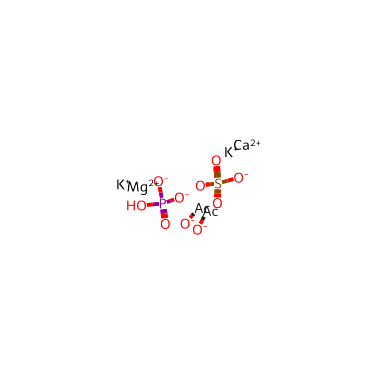 CC(=O)[O-].CC(=O)[O-].O=P([O-])([O-])O.O=S(=O)([O-])[O-].[Ca+2].[K+].[K+].[Mg+2]